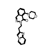 O=c1c2c(N3CCOCC3)cccc2cnn1CCc1cn2ccccc2n1